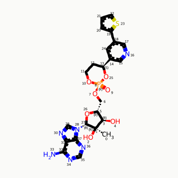 C[C@@]1(O)[C@H](O)[C@@H](CO[P@@]2(=O)OCC[C@@H](c3cncc(-c4cccs4)c3)O2)O[C@H]1n1cnc2c(N)ncnc21